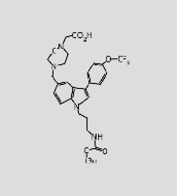 CC(C)(C)OC(=O)NCCCn1cc(-c2ccc(OC(F)(F)F)cc2)c2cc(CN3CCN(CC(=O)O)CC3)ccc21